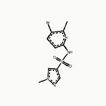 Cc1nc(NS(=O)(=O)c2cnn(C)c2)ccc1Br